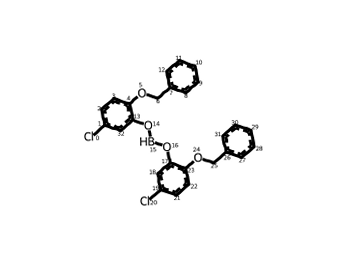 Clc1ccc(OCc2ccccc2)c(OBOc2cc(Cl)ccc2OCc2ccccc2)c1